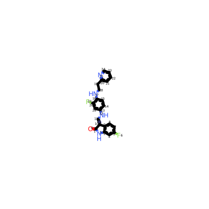 O=C1Nc2cc(F)ccc2/C1=C\Nc1ccc(NCCc2ccccn2)c(F)c1